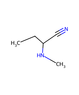 CCC(C#N)NC